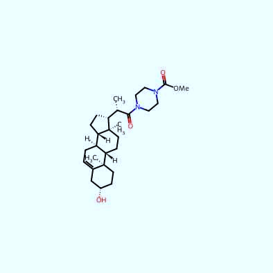 COC(=O)N1CCN(C(=O)[C@@H](C)[C@H]2CC[C@H]3[C@@H]4CC=C5C[C@@H](O)CC[C@]5(C)[C@H]4CC[C@]23C)CC1